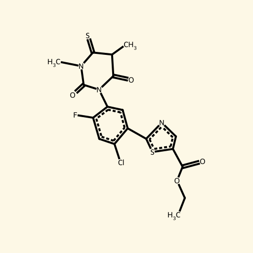 CCOC(=O)c1cnc(-c2cc(N3C(=O)C(C)C(=S)N(C)C3=O)c(F)cc2Cl)s1